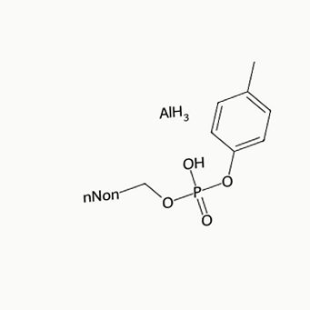 CCCCCCCCCCOP(=O)(O)Oc1ccc(C)cc1.[AlH3]